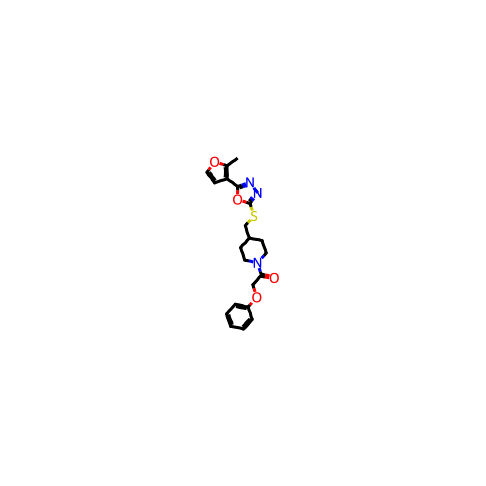 Cc1occc1-c1nnc(SCC2CCN(C(=O)COc3ccccc3)CC2)o1